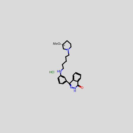 CO[C@@H]1CCCN(CCCCCNc2cccc(-c3n[nH]c(=O)c4ccccc34)c2)C1.Cl